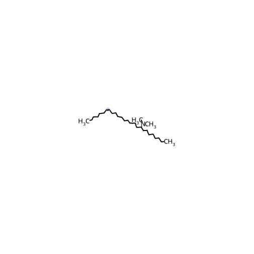 CCCCCC/C=C\CCCCCCCCCC(CCCCCCCC)N(C)C